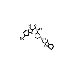 CCN(C(=O)c1nc2c([nH]1)C=CC(C#N)C2)C1CCCC(NCc2oc3ccccc3c2C)C1